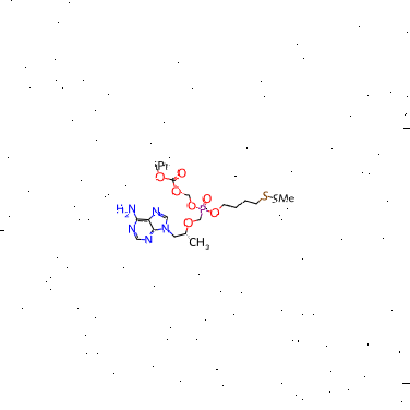 CSSCCCCOP(=O)(CO[C@H](C)Cn1cnc2c(N)ncnc21)OCOC(=O)OC(C)C